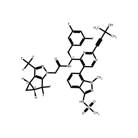 Cn1nc(NS(C)(=O)=O)c2cccc(-c3cnc(C#CC(C)(C)O)nc3[C@H](Cc3cc(F)cc(F)c3)NC(=O)Cn3nc(C(F)(F)F)c4c3C(F)(F)[C@@H]3C[C@H]43)c21